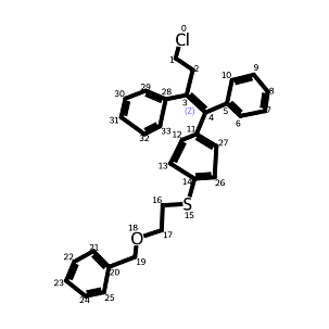 ClCC/C(=C(\c1ccccc1)c1ccc(SCCOCc2ccccc2)cc1)c1ccccc1